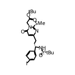 CSc1nc(CC[C@H](N[S@+]([O-])C(C)(C)C)c2ccc(I)cc2)cc(=O)n1CC(=O)OC(C)(C)C